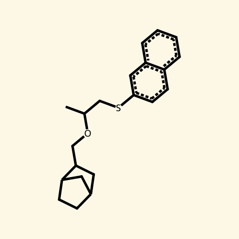 CC(CSc1ccc2ccccc2c1)OCC1CC2CCC1C2